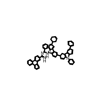 N=C(/N=C(\Nn1c2ccc(C3C=Cc4c(c5cc(-c6ccccc6)ccc5n4-c4ccccc4)C3)cc2c2cc(C3CC=CCC3)ccc21)c1ccccc1)c1ccc2c3ccccc3c3ccccc3c2c1